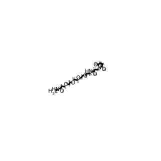 CNC(=O)CCOCCOCCOCCOCCNC(=O)CCN1C(=O)C=CC1=O